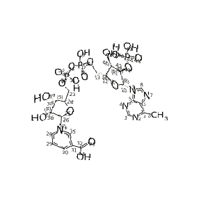 Cc1ncnc2c1ncn2[C@@H]1O[C@H](COP(=O)(O)OP(=O)(O)OCC2OC([n+]3cccc(C(=O)O)c3)[C@H](O)[C@@H]2O)[C@@H](O)[C@H]1OP(=O)(O)O